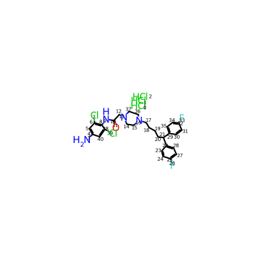 Cl.Cl.Cl.Nc1cc(Cl)c(NC(=O)CN2CCN(CCCCC(c3ccc(F)cc3)c3ccc(F)cc3)CC2)c(Cl)c1